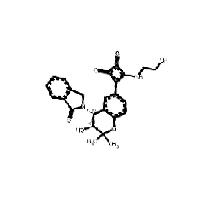 CC1(C)Oc2ccc(-c3c(NCCO)c(=O)c3=O)cc2[C@@H](N2Cc3ccccc3C2=O)[C@@H]1O